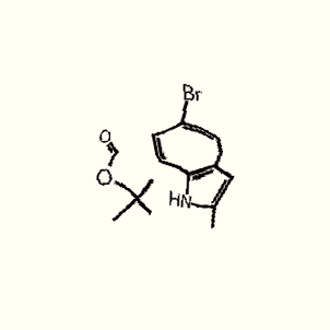 CC(C)(C)OC=O.Cc1cc2cc(Br)ccc2[nH]1